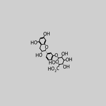 O=C(O)C1O[C@@H](Oc2cc([C@H]3Oc4cc(O)cc(O)c4C[C@H]3O)ccc2O)[C@@H](O)C(O)[C@@H]1O